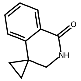 O=C1NCC2(CC2)c2ccccc21